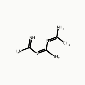 C/C(N)=N\C(N)=N/C(=N)N